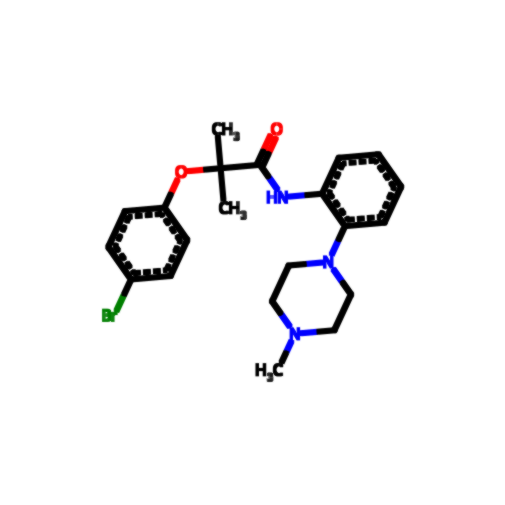 CN1CCN(c2ccccc2NC(=O)C(C)(C)Oc2ccc(Br)cc2)CC1